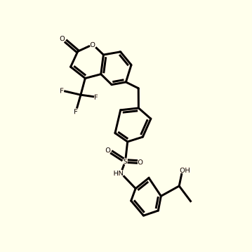 CC(O)c1cccc(NS(=O)(=O)c2ccc(Cc3ccc4oc(=O)cc(C(F)(F)F)c4c3)cc2)c1